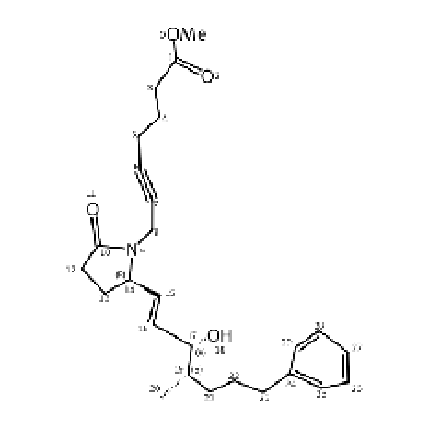 COC(=O)CCCC#CCN1C(=O)CC[C@@H]1C=C[C@H](O)[C@@H](C)CCCc1ccccc1